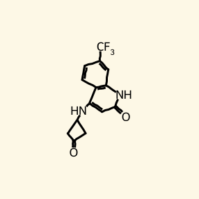 O=C1CC(Nc2cc(=O)[nH]c3cc(C(F)(F)F)ccc23)C1